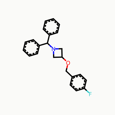 Fc1ccc(COC2CN(C(c3ccccc3)c3ccccc3)C2)cc1